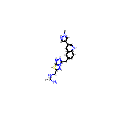 C[C@@H](N)NCc1nn2c(Cc3ccc4ncc(-c5cnn(C)c5)cc4c3)nnc2s1